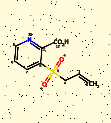 C=CCS(=O)(=O)c1cccnc1C(=O)O